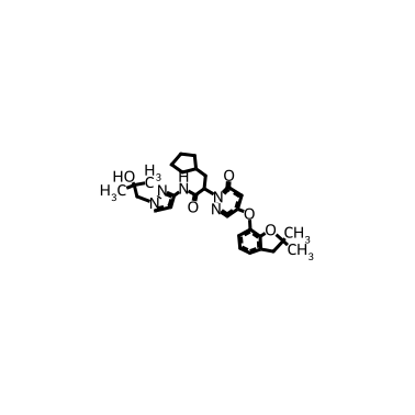 CC(C)(O)Cn1ccc(NC(=O)C(CC2CCCC2)n2ncc(Oc3cccc4c3OC(C)(C)C4)cc2=O)n1